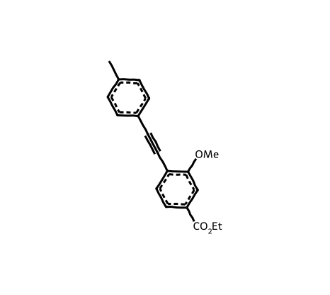 CCOC(=O)c1ccc(C#Cc2ccc(C)cc2)c(OC)c1